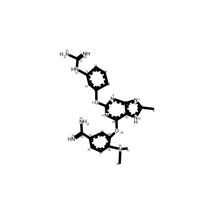 Cc1nc2nc(Oc3cccc(NC(=N)N)c3)nc(Oc3cc(C(=N)N)ccc3N(C)C)c2[nH]1